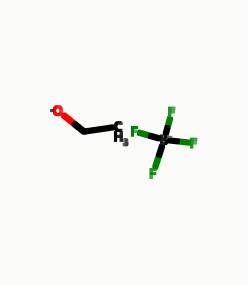 CC[O].F[B-](F)(F)F